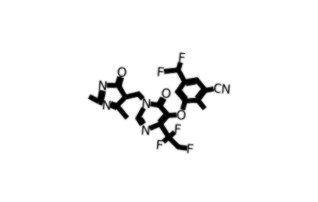 CC1=NC(=O)C(Cn2cnc(C(F)(F)CF)c(Oc3cc(C(F)F)cc(C#N)c3C)c2=O)C(C)=N1